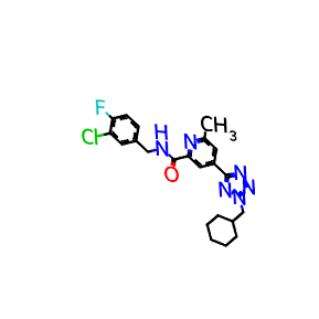 Cc1cc(-c2nnn(CC3CCCCC3)n2)cc(C(=O)NCc2ccc(F)c(Cl)c2)n1